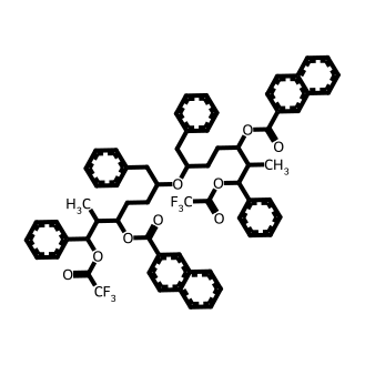 CC(C(CCC(Cc1ccccc1)OC(CCC(OC(=O)c1ccc2ccccc2c1)C(C)C(OC(=O)C(F)(F)F)c1ccccc1)Cc1ccccc1)OC(=O)c1ccc2ccccc2c1)C(OC(=O)C(F)(F)F)c1ccccc1